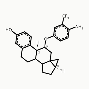 Nc1ccc(O[C@H]2CC34C[C@H]3CCC4C3CCc4cc(O)ccc4[C@H]32)cc1C(F)(F)F